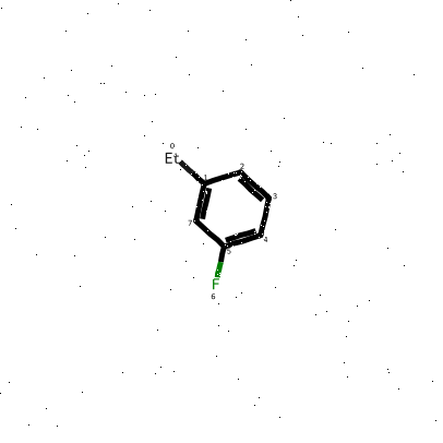 CCc1c[c]cc(F)c1